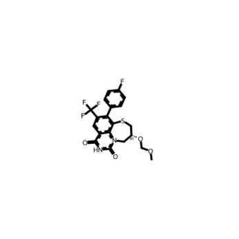 COCO[C@H]1CSc2c(-c3ccc(F)cc3)c(C(F)(F)F)cc3c(=O)[nH]c(=O)n(c23)C1